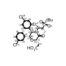 CC[C@@H]([C@@H](C)S(=O)(=O)C(C)(C)C)N1C(=O)[C@H](CC(=O)O)O[C@H](c2cccc(Cl)c2)[C@H]1c1ccc(Cl)cc1